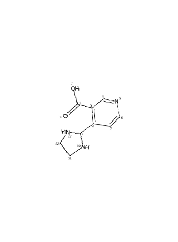 O=C(O)c1cnccc1C1NCCN1